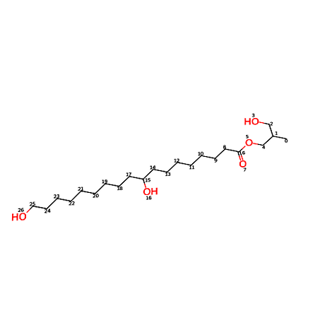 CC(CO)COC(=O)CCCCCCCC(O)CCCCCCCCCO